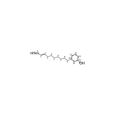 CCCCCCC=CCCCCCCCc1cccc(O)c1